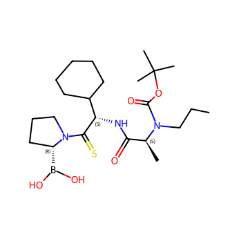 CCCN(C(=O)OC(C)(C)C)[C@@H](C)C(=O)N[C@H](C(=S)N1CCC[C@H]1B(O)O)C1CCCCC1